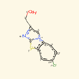 OCc1cn2c(n1)sc1cc(Cl)ccc12